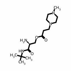 CN1CCN(CCC(=O)OC[C@H](N)C(=O)NC(C)(C)C)CC1